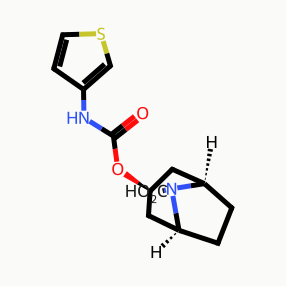 O=C(Nc1ccsc1)O[C@H]1C[C@H]2CC[C@@H](C1)N2C(=O)O